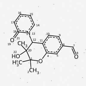 CC1(C)Oc2cc(C=O)ccc2C(n2ccccc2=O)C1(C)O